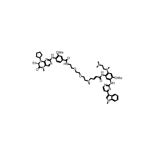 CC[C@@H]1C(=O)N(C)c2cnc(Nc3ccc(C(=O)NCCOCCOCCN(C)C/C=C/C(=O)Nc4cc(Nc5nccc(-c6cn(C)c7ccccc67)n5)c(OC)cc4N(C)CCN(C)C)cc3OC)nc2N1C1CCCC1